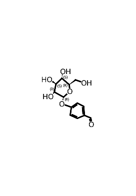 O=Cc1ccc(O[C@H]2O[C@H](CO)[C@@H](O)[C@H](O)[C@H]2O)cc1